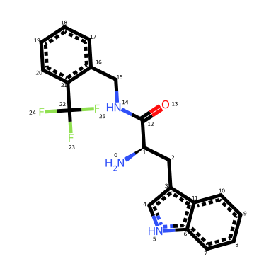 N[C@H](Cc1c[nH]c2ccccc12)C(=O)NCc1ccccc1C(F)(F)F